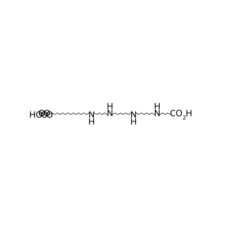 O=C(O)CCCCCNCCCCCCCCNCCCCCCCCNCCCCCCNCCCCCCCCCCCCCCCOOOOO